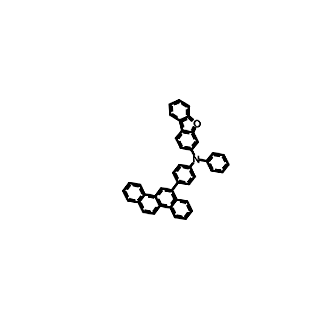 c1ccc(N(c2ccc(-c3cc4c5ccccc5ccc4c4ccccc34)cc2)c2ccc3c(c2)oc2ccccc23)cc1